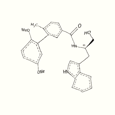 COc1ccc(OC)c(-c2cc(C(=O)N[C@@H](CO)Cc3c[nH]c4ccccc34)ccc2C)c1